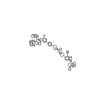 N#Cc1cc(NC2CCC(=O)NC2=O)ccc1C1CCN(CC(=O)N2CCC(c3ccc(-c4cc(F)c5c(c4)C(=O)N(C(C(=O)Nc4nccs4)c4ncn6c4CCC6)C5)cc3)CC2)CC1